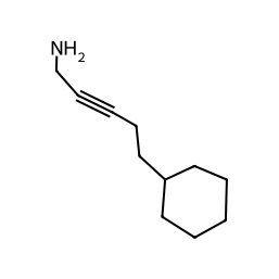 NCC#CCCC1CCCCC1